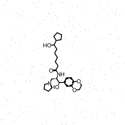 O=C(CCCCCC(O)C1CCCC1)N[C@H](CN1CCCC1)[C@H](O)c1ccc2c(c1)OCCO2